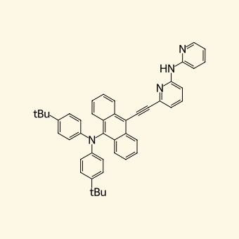 CC(C)(C)c1ccc(N(c2ccc(C(C)(C)C)cc2)c2c3ccccc3c(C#Cc3cccc(Nc4ccccn4)n3)c3ccccc23)cc1